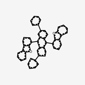 c1ccc(-c2ccc3c(-c4cccc5c4oc4ccccc45)c4ccc(-c5ccccc5)cc4c(-c4cccc5c4oc4ccccc45)c3c2)cc1